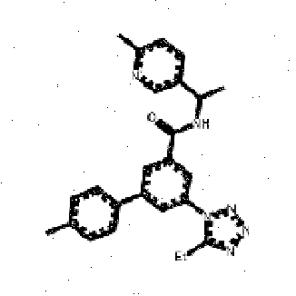 CCc1nnnn1-c1cc(C(=O)NC(C)c2ccc(C)nc2)cc(-c2ccc(C)cc2)c1